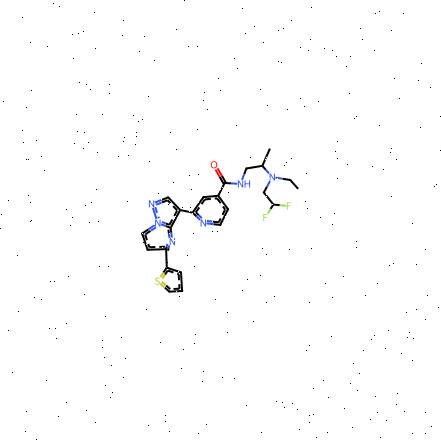 CCN(CC(F)F)C(C)CNC(=O)c1ccnc(-c2cnn3ccc(-c4cccs4)nc23)c1